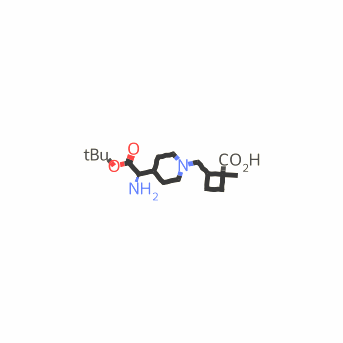 CC(C)(C)OC(=O)[C@H](N)C1CCN(CC2CCC2(C)C(=O)O)CC1